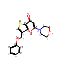 O=c1cc(N2CCOCC2)oc2c(COc3ccccc3)csc12